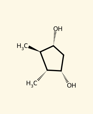 C[C@@H]1[C@@H](C)[C@@H](O)C[C@H]1O